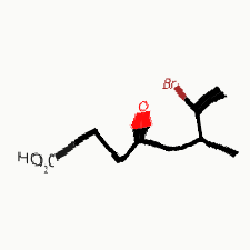 C=C(Br)C(C)CC(=O)CCC(=O)O